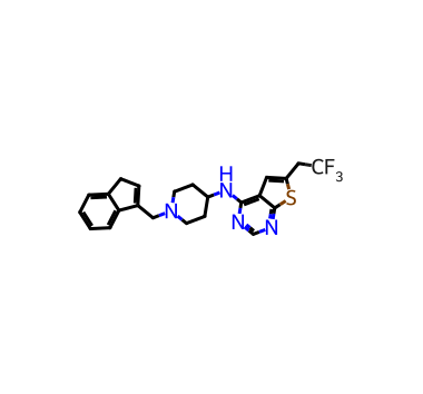 FC(F)(F)Cc1cc2c(NC3CCN(CC4=CCc5ccccc54)CC3)ncnc2s1